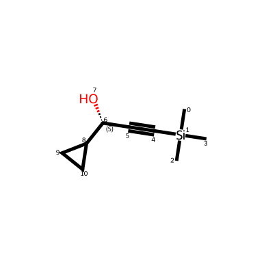 C[Si](C)(C)C#C[C@@H](O)C1CC1